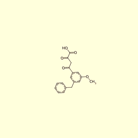 COc1cc(Cc2ccccc2)cc(C(=O)CC(=O)C(=O)O)c1